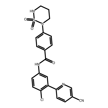 N#Cc1ccc(-c2cc(NC(=O)c3ccc(N4CCCNS4(=O)=O)cc3)ccc2Cl)nc1